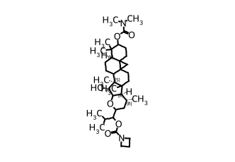 CC(C)C(OC(=O)N1CCC1)C1C[C@@H](C)[C@H]2C(O1)[C@H](O)[C@@]1(C)C3CC[C@H]4C(C)(C)C(OC(=O)N(C)C)CCC45CC35CCC21C